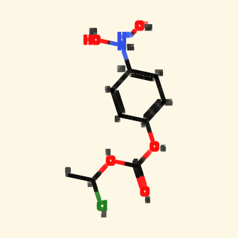 CC(Cl)OC(=O)Oc1ccc([NH+]([O-])O)cc1